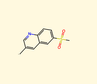 [CH2]c1cnc2ccc(S(C)(=O)=O)cc2c1